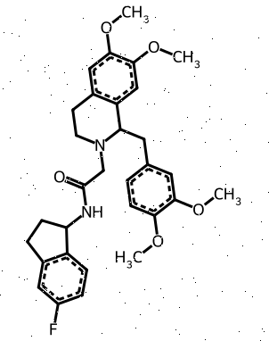 COc1ccc(CC2c3cc(OC)c(OC)cc3CCN2CC(=O)NC2CCc3cc(F)ccc32)cc1OC